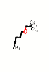 CC#CCCCOCC(C)C